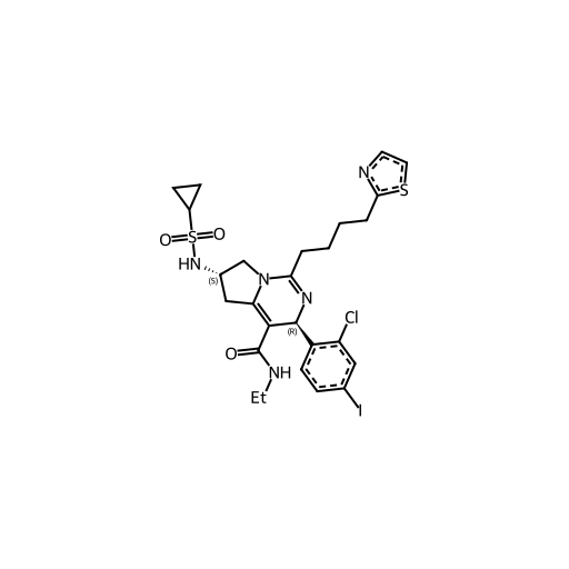 CCNC(=O)C1=C2C[C@H](NS(=O)(=O)C3CC3)CN2C(CCCCc2nccs2)=N[C@H]1c1ccc(I)cc1Cl